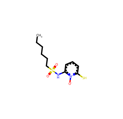 CCCCCCS(=O)(=O)Nc1cccc(S)[n+]1[O-]